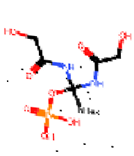 CCCCCCC(NC(=O)CO)(NC(=O)CO)OP(=O)(O)O